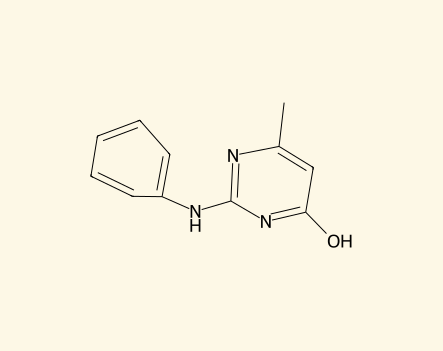 Cc1cc(O)nc(Nc2ccccc2)n1